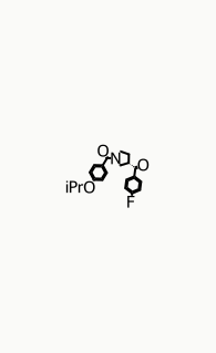 CC(C)Oc1ccc(C(=O)N2CC[C@H](C(=O)c3ccc(F)cc3)C2)cc1